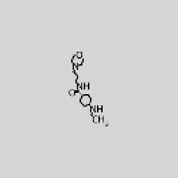 CCN[C@H]1CC[C@H](C(=O)NCCCN2CCOCC2)CC1